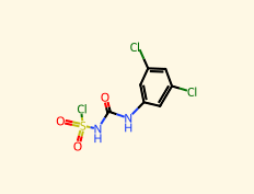 O=C(Nc1cc(Cl)cc(Cl)c1)NS(=O)(=O)Cl